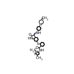 Cc1cc(NC(=O)c2ccccc2Sc2ccc3c(c2)NC(=O)/C3=C/Nc2ccc(N3CCN(C)CC3)cc2)n(C)n1